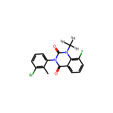 [2H]C([2H])([2H])n1c(=O)n(-c2cccc(Br)c2C)c(=O)c2cccc(F)c21